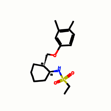 CCS(=O)(=O)N[C@H]1CCCC[C@@H]1COc1ccc(C)c(C)c1